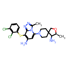 Cc1nnc2c(Sc3cccc(Cl)c3Cl)c(N)cc(N3CCC4(CC3)CO[C@@H](C)C4N)n12